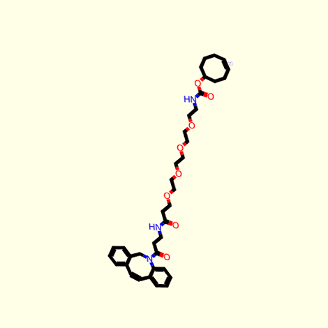 O=C(CCOCCOCCOCCOCCNC(=O)OC1CC/C=C\CCC1)NCCC(=O)N1Cc2ccccc2C#Cc2ccccc21